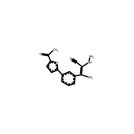 CC(=O)c1ccc(-c2cccc(/C(N)=C(\C#N)NN)c2)s1